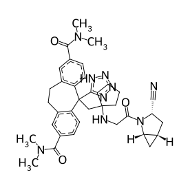 CN(C)C(=O)c1ccc2c(c1)CCc1cc(C(=O)N(C)C)ccc1C2(CC1(NCC(=O)N2[C@H](C#N)C[C@@H]3C[C@@H]32)CCCC1)c1nnn[nH]1